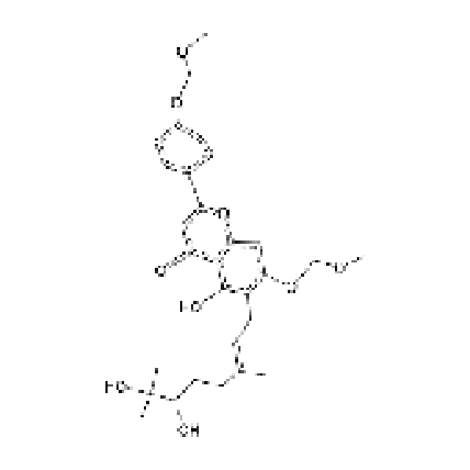 COCOc1ccc(-c2cc(=O)c3c(O)c(C/C=C(\C)CC[C@H](O)C(C)(C)O)c(OCOC)cc3o2)cc1